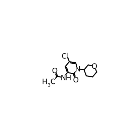 CC(=O)Nc1cc(Cl)cn(C2CCCOC2)c1=O